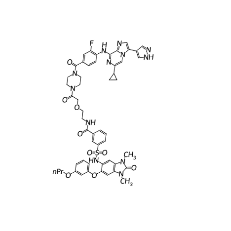 CCCOc1cccc(Oc2cc3c(cc2NS(=O)(=O)c2cccc(C(=O)NCCOCC(=O)N4CCN(C(=O)c5ccc(Nc6nc(C7CC7)cn7c(-c8cn[nH]c8)cnc67)c(F)c5)CC4)c2)n(C)c(=O)n3C)c1